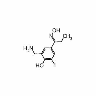 CCC(=NO)c1cc(I)c(O)c(CN)c1